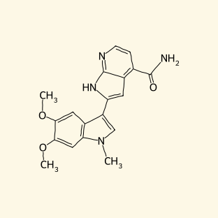 COc1cc2c(-c3cc4c(C(N)=O)ccnc4[nH]3)cn(C)c2cc1OC